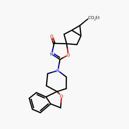 CCOC(=O)C1C2CC3(CC21)OC(N1CCC2(CC1)OCc1ccccc12)=NC3=O